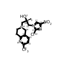 C[C@](O)(CN1CCc2nc(C(F)(F)F)ccc2C1)Cn1cc([N+](=O)[O-])nc1Cl